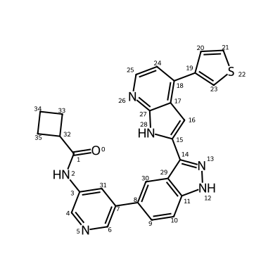 O=C(Nc1cncc(-c2ccc3[nH]nc(-c4cc5c(-c6ccsc6)ccnc5[nH]4)c3c2)c1)C1CCC1